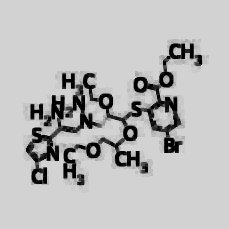 CCOCC(C)OC(Sc1cc(Br)cnc1C(=O)OCC)[C@H](CN(N)/C=C(\N)c1nc(Cl)cs1)OCC